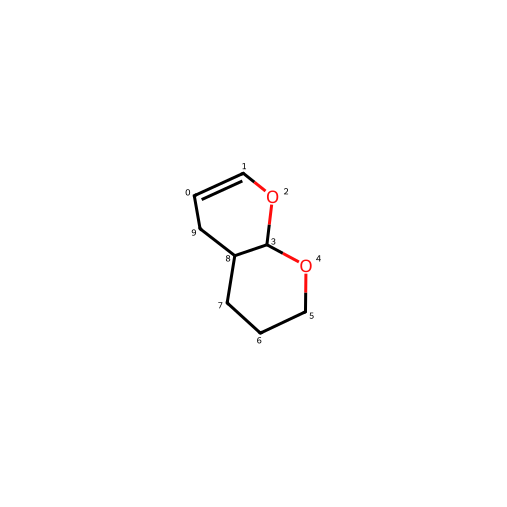 C1=COC2OCCCC2C1